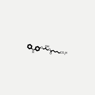 O=C(O)CCCCC(=O)OCC(O)COc1ccc(Nc2ccccc2)cc1